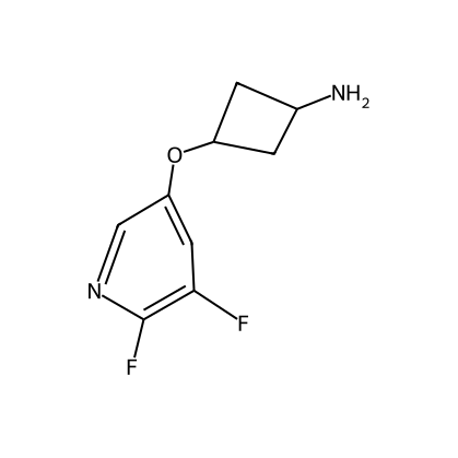 NC1CC(Oc2cnc(F)c(F)c2)C1